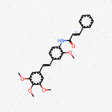 COc1cc(C=Cc2cc(OC)c(OC)c(OC)c2)ccc1NC(=O)/C=C/c1ccccc1